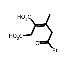 CCC(=O)CC(C)=C(CC(=O)O)C(=O)O